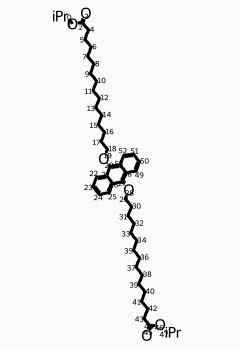 CC(C)OC(=O)CCCCCCCCCCCCCCCOc1c2ccccc2c(OCCCCCCCCCCCCCCCC(=O)OC(C)C)c2ccccc12